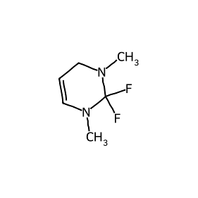 CN1C=CCN(C)C1(F)F